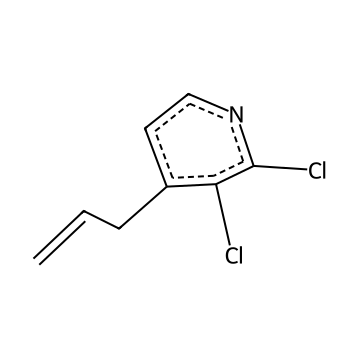 C=CCc1ccnc(Cl)c1Cl